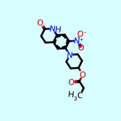 CCC(=O)OC1CCN(c2cc3c(cc2[N+](=O)[O-])NC(=O)CC3)CC1